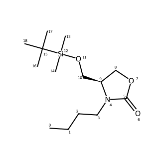 CCCCN1C(=O)OC[C@@H]1CO[Si](C)(C)C(C)(C)C